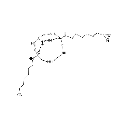 N#CCCCCCCNC12CNCCNCC(NCCCCCCC3C=N3)(CNCCNC1)CNCCNC2